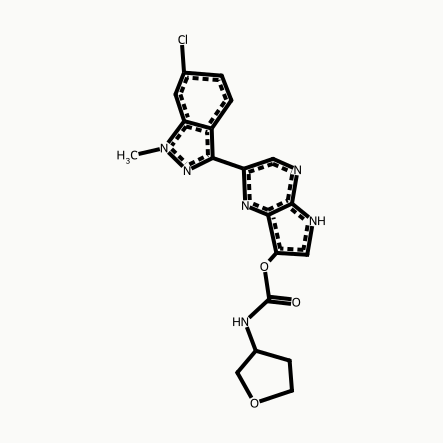 Cn1nc(-c2cnc3[nH]cc(OC(=O)NC4CCOC4)c3n2)c2ccc(Cl)cc21